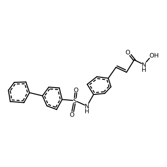 O=C(C=Cc1ccc(NS(=O)(=O)c2ccc(-c3ccccc3)cc2)cc1)NO